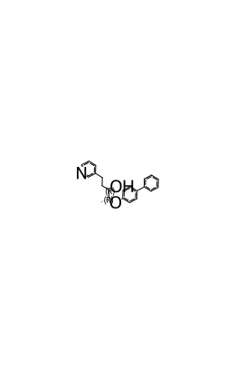 C[C@@H](Oc1ccc(-c2ccccc2)cc1)[C@H](O)CCc1cccnc1